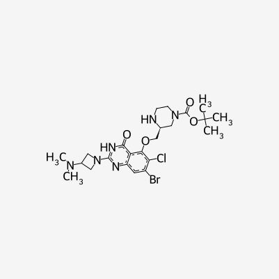 CN(C)C1CN(c2nc3cc(Br)c(Cl)c(OC[C@@H]4CN(C(=O)OC(C)(C)C)CCN4)c3c(=O)[nH]2)C1